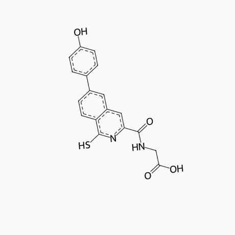 O=C(O)CNC(=O)c1cc2cc(-c3ccc(O)cc3)ccc2c(S)n1